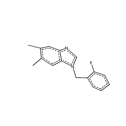 Cc1cc2ncn(Cc3ccccc3F)c2cc1C